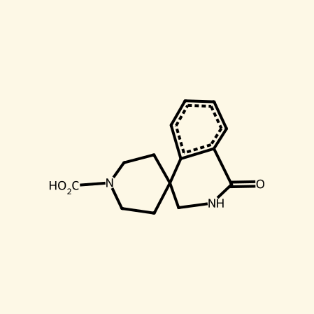 O=C1NCC2(CCN(C(=O)O)CC2)c2ccccc21